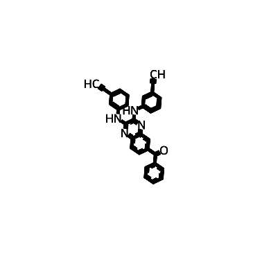 C#CC1=CCCC(Nc2nc3ccc(C(=O)c4ccccc4)cc3nc2NC2=C=C=CC(C#C)=C2)=C1